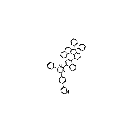 c1ccc(-c2cc(-c3ccc(-c4cccnc4)cc3)nc(-c3ccc(-c4cccc5c4-c4c(ccc6ccccc46)C5(c4ccccc4)c4ccccc4)c4ccccc34)n2)cc1